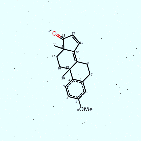 COc1ccc2c(c1)CCC1=C3C=CC(=O)C3(C)CCC12C